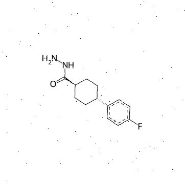 NNC(=O)[C@H]1CC[C@H](c2ccc(F)cc2)CC1